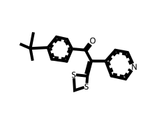 CC(C)(C)c1ccc(C(=O)C(=C2SCS2)c2ccncc2)cc1